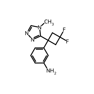 Cn1cnnc1C1(c2cccc(N)c2)CC(F)(F)C1